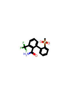 CS(=O)(=O)c1ccccc1-c1cc[c]c(C(F)(F)F)c1C(N)=O